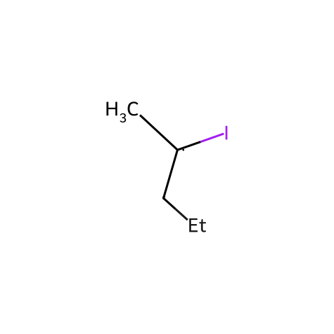 CCC[C](C)I